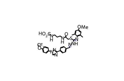 COc1cc(C)c(/N=C(/N/N=C/c2ccc(-c3ncn(-c4ccc(OC(F)(F)F)cc4)n3)cc2)SCC(=O)NCCCNC(=O)O)c(C)c1